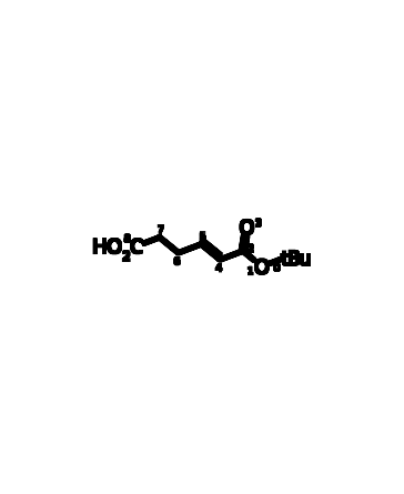 CC(C)(C)OC(=O)/C=C/CCC(=O)O